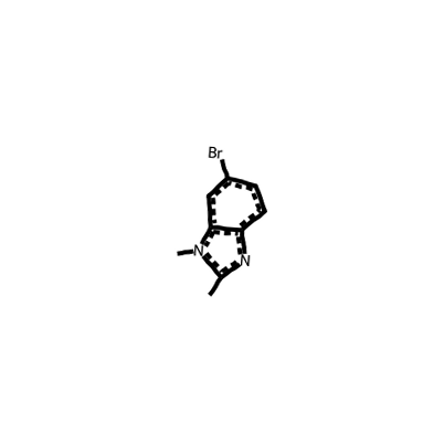 Cc1nc2ccc(Br)cc2n1C